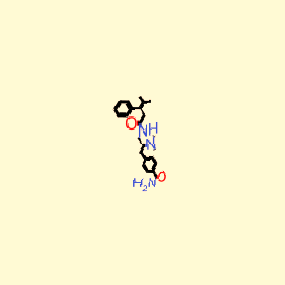 CC(C)[C@@H](CC(=O)NC[C@H](Cc1ccc(C(N)=O)cc1)N(C)C)c1ccccc1